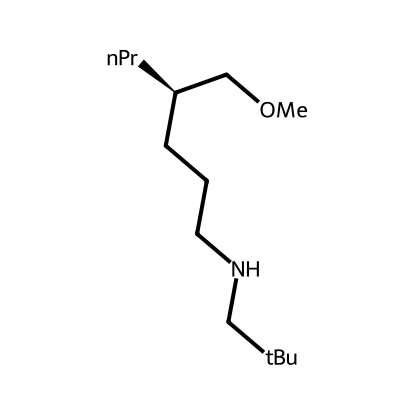 CCC[C@H](CCCNCC(C)(C)C)COC